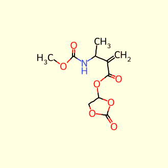 C=C(C(=O)OC1COC(=O)O1)C(C)NC(=O)OC